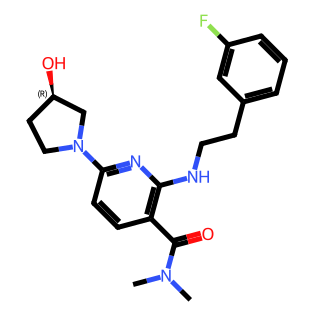 CN(C)C(=O)c1ccc(N2CC[C@@H](O)C2)nc1NCCc1cccc(F)c1